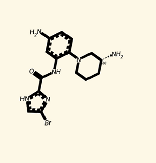 Nc1ccc(N2CCC[C@@H](N)C2)c(NC(=O)c2nc(Br)c[nH]2)c1